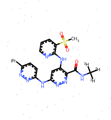 [2H]C([2H])([2H])NC(=O)c1nnc(Nc2ccc(C(C)C)nn2)cc1Nc1ncccc1S(C)(=O)=O